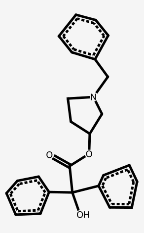 O=C(OC1CCN(Cc2ccccc2)C1)C(O)(c1ccccc1)c1ccccc1